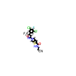 N#CCCNC(=O)c1cc2c(s1)CN(C1=NOC(c3cc(Cl)c(F)c(Cl)c3)(C(F)(F)F)C1)C2